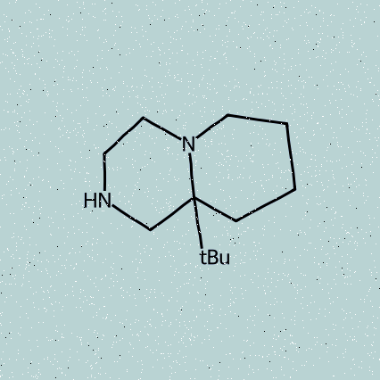 CC(C)(C)C12CCCCN1CCNC2